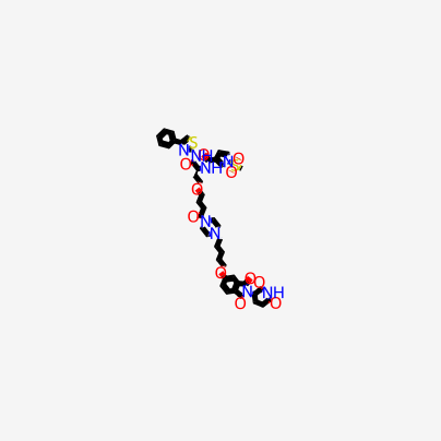 CS(=O)(=O)n1ccc(C(=O)N[C@@H](CCOCCCC(=O)N2CCN(CCCCCOc3ccc4c(c3)C(=O)N(C3CCC(=O)NC3=O)C4=O)CC2)C(=O)Nc2nc(-c3ccccc3)cs2)c1